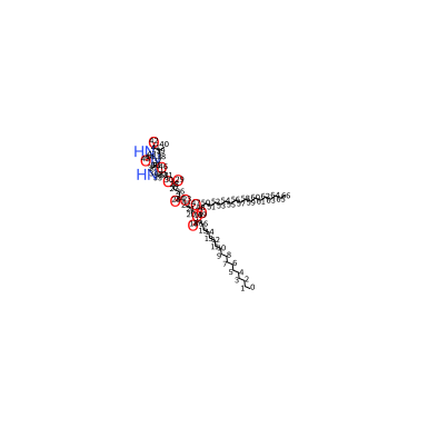 CCCCCCCCCCCCCCCCCC(=O)OCC(COC(=O)CCC(=O)OC[C@@H]1CNC[C@H](n2cc(C)c(=O)[nH]c2=O)O1)OC(=O)CCCCCCCCCCCCCCCCC